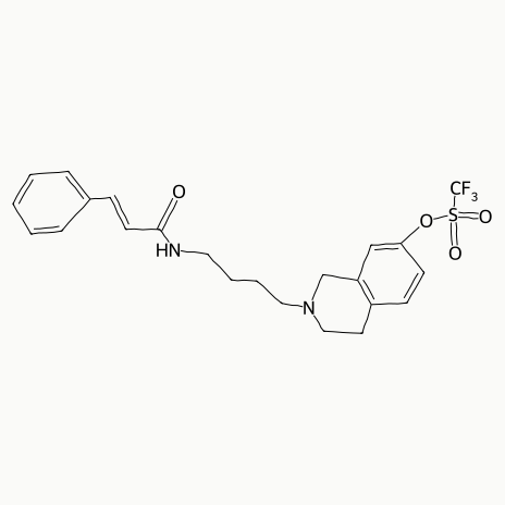 O=C(C=Cc1ccccc1)NCCCCN1CCc2ccc(OS(=O)(=O)C(F)(F)F)cc2C1